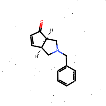 O=C1C=C[C@@H]2CN(Cc3ccccc3)C[C@H]12